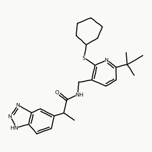 CC(C(=O)NCc1ccc(C(C)(C)C)nc1SC1CCCCC1)c1ccc2[nH]nnc2c1